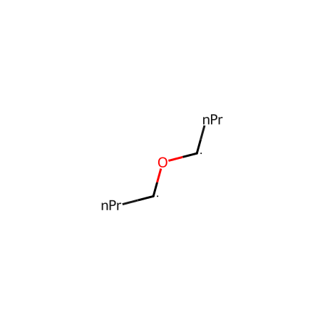 [CH2]CC[CH]O[CH]CC[CH2]